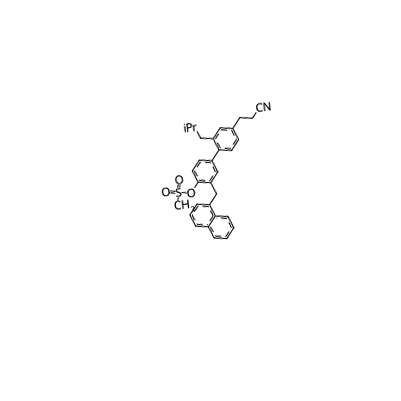 CC(C)Cc1cc(CCC#N)ccc1-c1ccc(OS(C)(=O)=O)c(Cc2cccc3ccccc23)c1